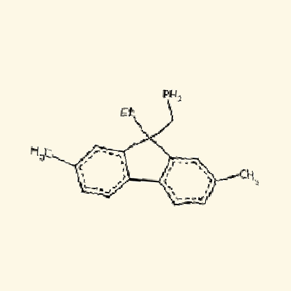 CCC1(CP)c2cc(C)ccc2-c2ccc(C)cc21